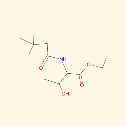 CCOC(=O)C(NC(=O)CC(C)(C)C)C(C)O